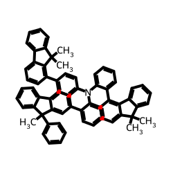 CC1(C)c2ccccc2-c2c(-c3ccccc3N(c3ccc(-c4cccc5c4C(C)(C)c4ccccc4-5)cc3)c3ccccc3-c3ccc4c(c3)C(C)(c3ccccc3)c3ccccc3-4)cccc21